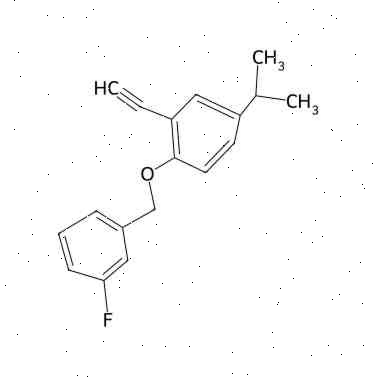 C#Cc1cc(C(C)C)ccc1OCc1cccc(F)c1